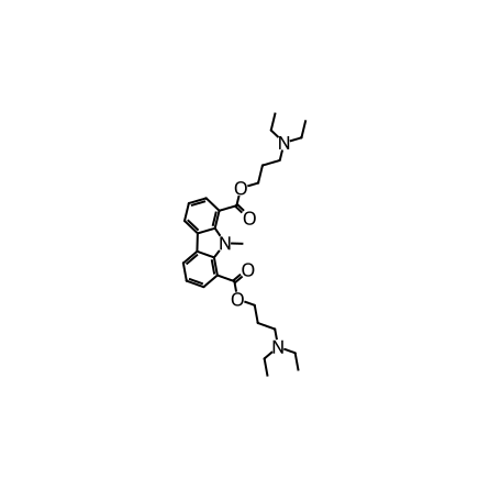 CCN(CC)CCCOC(=O)c1cccc2c3cccc(C(=O)OCCCN(CC)CC)c3n(C)c12